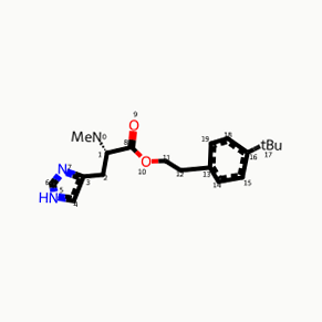 CN[C@@H](Cc1c[nH]cn1)C(=O)OCCc1ccc(C(C)(C)C)cc1